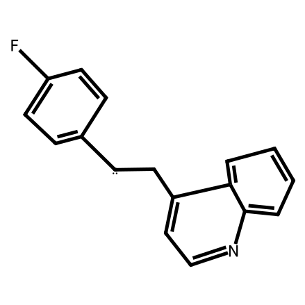 Fc1ccc([C]Cc2ccnc3ccccc23)cc1